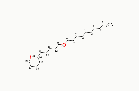 N#CCCCCCCCCCOCCCCCC1CCCCO1